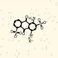 Nc1c(S(=O)(=O)[O-])cc(Br)c2c1C(=O)c1cccc(S(=O)(=O)[O-])c1C2=O.[K+].[K+]